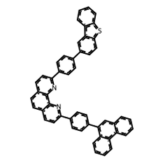 c1ccc2c(c1)cc(-c1ccc(-c3ccc4ccc5ccc(-c6ccc(-c7ccc8sc9ccccc9c8c7)cc6)nc5c4n3)cc1)c1ccccc12